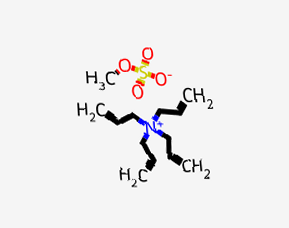 C=CC[N+](CC=C)(CC=C)CC=C.COS(=O)(=O)[O-]